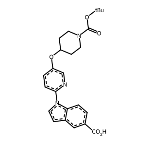 CC(C)(C)OC(=O)N1CCC(Oc2ccc(-n3ccc4cc(C(=O)O)ccc43)nc2)CC1